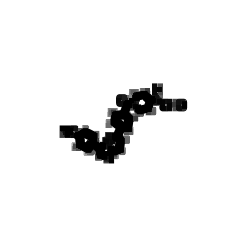 N#Cc1ccc(-c2cnc3ccc(-c4ccc(C(=O)N5CCC(NC=O)CC5)cc4)nn23)cc1